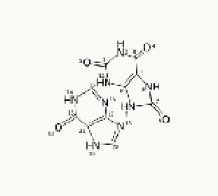 O=c1[nH]c(=O)c2[nH]c(=O)[nH]c2[nH]1.O=c1[nH]cnc2nc[nH]c12